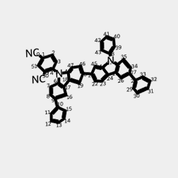 N#Cc1ccc(-n2c3ccc(-c4ccccc4)cc3c3cc(-c4ccc5c6cc(-c7ccccc7)ccc6n(-c6ccccc6)c5c4)ccc32)c(C#N)c1